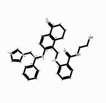 O=C(NCCO)c1ccccc1SCc1c(O[C@H](Cn2ccnc2)c2ccccc2)ccc2c1CCCC2=O